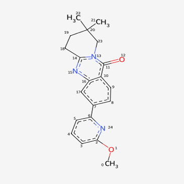 COc1cccc(-c2ccc3c(=O)n4c(nc3c2)CCC(C)(C)C4)n1